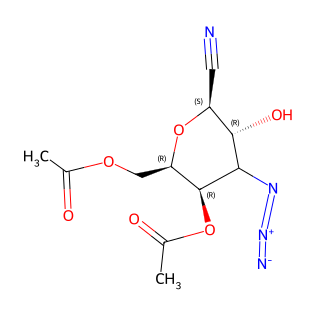 CC(=O)OC[C@H]1O[C@@H](C#N)[C@H](O)C(N=[N+]=[N-])[C@H]1OC(C)=O